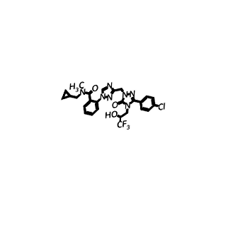 CN(CC1CC1)C(=O)c1ccccc1-n1cnc(Cn2nc(-c3ccc(Cl)cc3)n(C[C@H](O)C(F)(F)F)c2=O)n1